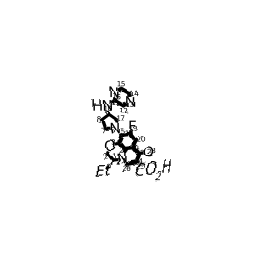 CC[C@H]1COc2c(N3CC[C@@H](Nc4cnccn4)C3)c(F)cc3c(=O)c(C(=O)O)cn1c23